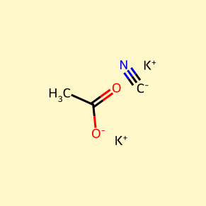 CC(=O)[O-].[C-]#N.[K+].[K+]